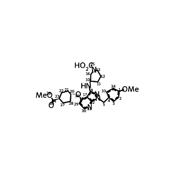 COc1ccc(Cn2nc(N[C@@H]3CCCN(C(=O)O)C3)c3c(O[C@H]4CC[C@H](C(=O)OC)CC4)ccnc32)cc1